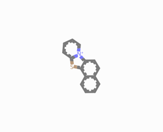 c1ccc2c(c1)ccc1c2sc2cccc[n+]21